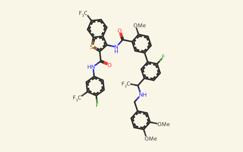 COc1ccc(CNC(c2ccc(F)c(-c3ccc(OC)c(C(=O)Nc4c(C(=O)Nc5ccc(F)c(C(F)(F)F)c5)sc5cc(C(F)(F)F)ccc45)c3)c2)C(F)(F)F)cc1OC